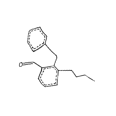 CCCCc1cccc(C=O)c1Cc1ccccc1